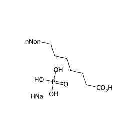 CCCCCCCCCCCCCCCC(=O)O.O=P(O)(O)O.[NaH]